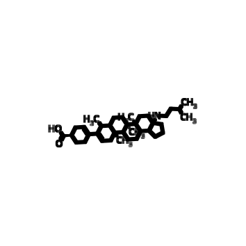 CC(C)CCNC12CCCC1C1CCC3C4(C)CC=C(C5=CC[C@H](C(=O)O)CC5)C(C)C4CC[C@@]3(C)[C@]1(C)CC2